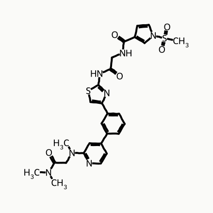 CN(C)C(=O)CN(C)c1cc(-c2cccc(-c3csc(NC(=O)CNC(=O)c4ccn(S(C)(=O)=O)c4)n3)c2)ccn1